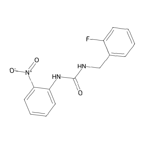 O=C(NCc1ccccc1F)Nc1ccccc1[N+](=O)[O-]